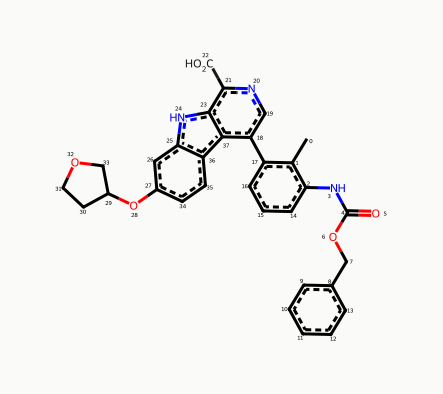 Cc1c(NC(=O)OCc2ccccc2)cccc1-c1cnc(C(=O)O)c2[nH]c3cc(OC4CCOC4)ccc3c12